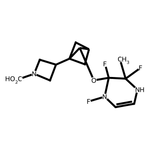 CC1(F)NC=CN(F)C1(F)OC1C2CC1(C1CN(C(=O)O)C1)C2